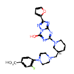 O=C(O)c1ccc(N2CCN(C[C@@H]3CCCN(c4nc(O)n5nc(-c6ccco6)nc5n4)C3)CC2)c(F)c1